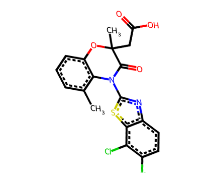 Cc1cccc2c1N(c1nc3ccc(Cl)c(Cl)c3s1)C(=O)C(C)(CC(=O)O)O2